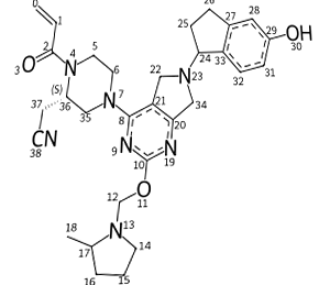 C=CC(=O)N1CCN(c2nc(OCN3CCCC3C)nc3c2CN(C2CCc4cc(O)ccc42)C3)C[C@@H]1CC#N